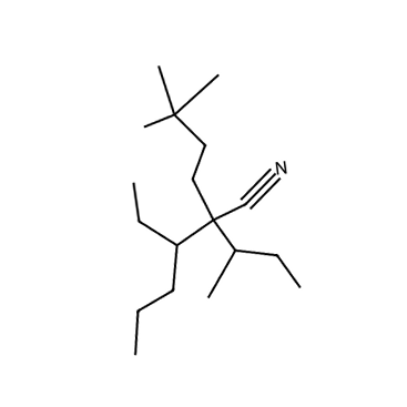 CCCC(CC)C(C#N)(CCC(C)(C)C)C(C)CC